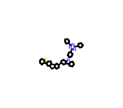 c1ccc(-c2nc(-c3ccccc3)nc(-c3ccc(-n4c5ccccc5c5cc(-c6ccc7c(c6)-c6cc8sc9ccccc9c8cc6C7)ccc54)cc3)n2)cc1